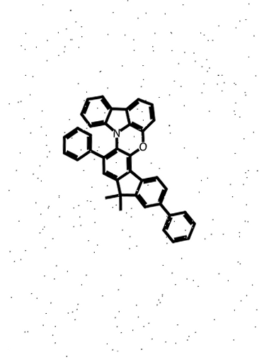 CC1(C)c2cc(-c3ccccc3)ccc2-c2c1cc(-c1ccccc1)c1c2Oc2cccc3c4ccccc4n-1c23